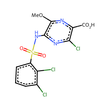 COc1nc(C(=O)O)c(Cl)nc1NS(=O)(=O)c1cccc(Cl)c1Cl